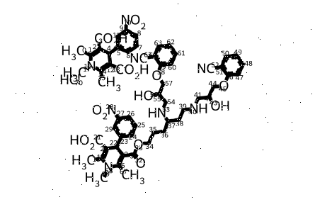 CC1=C(C(=O)O)C(c2cccc([N+](=O)[O-])c2)C(C(=O)O)=C(C)N1C.CC1=C(C(=O)O)C(c2cccc([N+](=O)[O-])c2)C(C(=O)OCCCC(CCNCC(O)COc2ccccc2C#N)NCC(O)COc2ccccc2C#N)=C(C)N1C.Cl